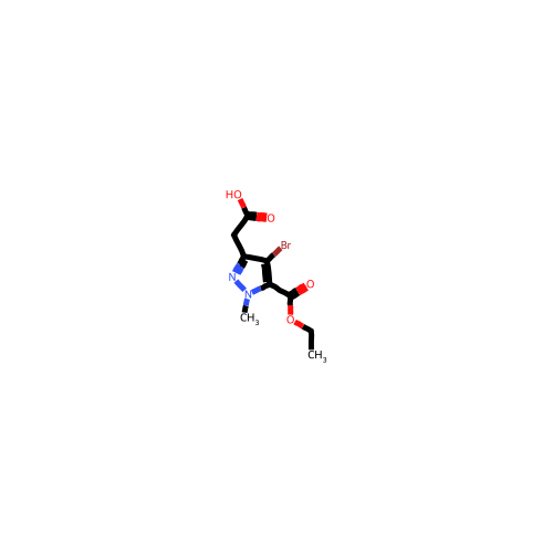 CCOC(=O)c1c(Br)c(CC(=O)O)nn1C